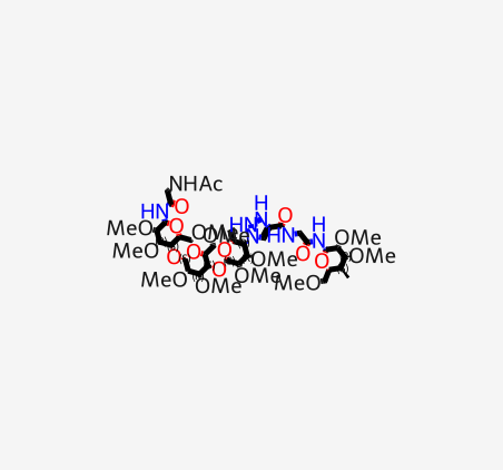 COCC1OC(NC(=O)CNC(=O)C2=CN([C@@H]3C(C)O[C@@H](O[C@H]4C(COC)O[C@@H](O[C@H]5C(COC)OC(NC(=O)CNC(C)=O)C(OC)[C@@H]5OC)C(OC)[C@@H]4OC)C(OC)[C@@H]3OC)NN2)C(OC)[C@H](OC)[C@H]1C